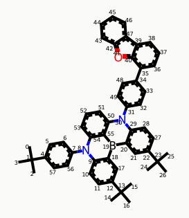 CC(C)(C)c1ccc(N2c3ccc(C(C)(C)C)cc3B3c4cc(C(C)(C)C)ccc4N(c4ccc(-c5cccc6c5oc5ccccc56)cc4)c4cccc2c43)cc1